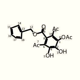 CC(=O)Oc1c(O)c(O)c(C(C)=O)c(C(=O)OCc2ccccc2)c1C(C)=O